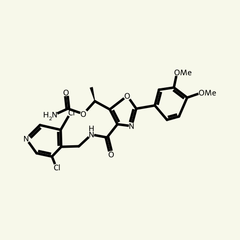 COc1ccc(-c2nc(C(=O)NCc3c(Cl)cncc3Cl)c([C@H](C)OC(N)=O)o2)cc1OC